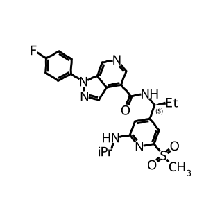 CC[C@H](NC(=O)c1cncc2c1cnn2-c1ccc(F)cc1)c1cc(NC(C)C)nc(S(C)(=O)=O)c1